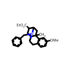 CCOC(=O)C1CC2C3Cc4ccc(OC)cc4C2(C)CC1N3Cc1ccccc1